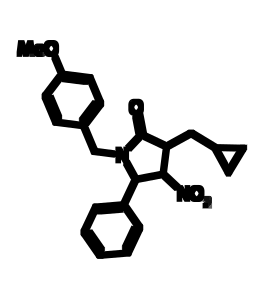 COc1ccc(CN2C(=O)C(CC3CC3)C([N+](=O)[O-])C2c2ccccc2)cc1